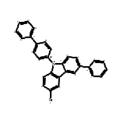 Brc1ccc2c(c1)c1cc(-c3ccccc3)ccc1n2-c1ccc(-c2ccccc2)cc1